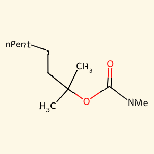 CCCCCCCC(C)(C)OC(=O)NC